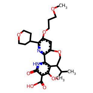 COCCCOc1cc2c(nc1C1CCOCC1)-c1[nH]c(=O)c(C(=O)O)c(O)c1C(C(C)C)CO2